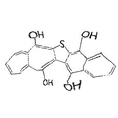 Oc1c2ccccc2c(O)c2c1sc1c(O)c3ccccc3c(O)c12